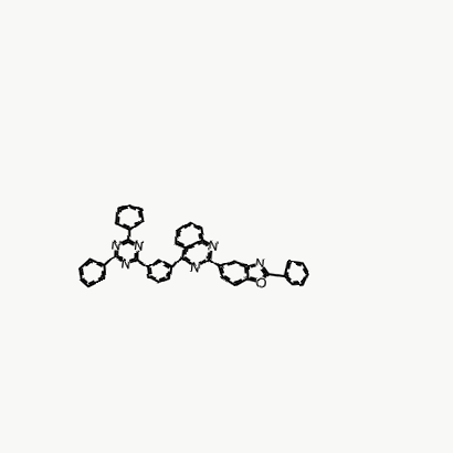 c1ccc(-c2nc(-c3ccccc3)nc(-c3cccc(-c4nc(-c5ccc6oc(-c7ccccc7)nc6c5)nc5ccccc45)c3)n2)cc1